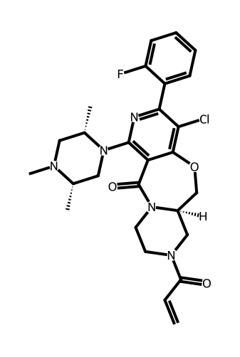 C=CC(=O)N1CCN2C(=O)c3c(N4C[C@H](C)N(C)C[C@@H]4C)nc(-c4ccccc4F)c(Cl)c3OC[C@H]2C1